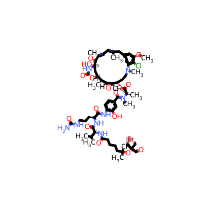 COc1cc2cc(c1Cl)N(C)CC[C@H](OC(=O)[C@H](C)N(C)C(=O)c1ccc(NC(=O)[C@H](CCCNC(N)=O)NC(=O)[C@@H](NC(=O)CCCCC(C)(C)OC(C=O)(CBr)CBr)C(C)C)c(O)c1)[C@]1(C)O[C@H]1[C@H](C)[C@@H]1C[C@@](O)(NC(=O)O1)[C@H](OC)/C=C/C=C(\C)C2